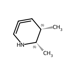 C[C@@H]1NC=C=C[C@@H]1C